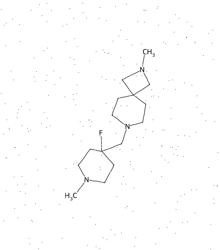 CN1CCC(F)(CN2CCC3(CC2)CN(C)C3)CC1